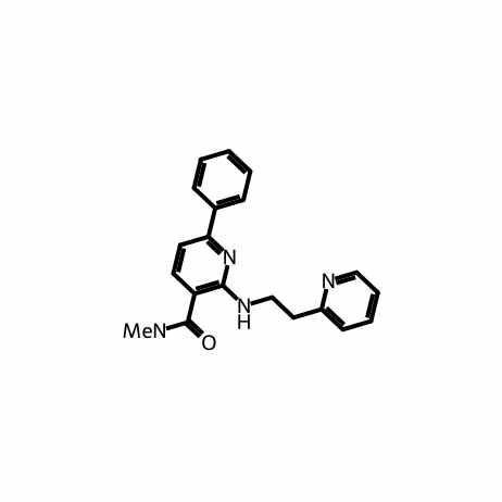 CNC(=O)c1ccc(-c2ccccc2)nc1NCCc1ccccn1